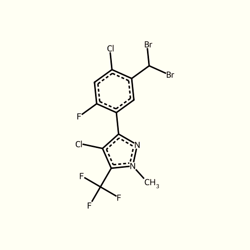 Cn1nc(-c2cc(C(Br)Br)c(Cl)cc2F)c(Cl)c1C(F)(F)F